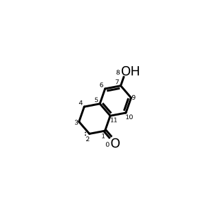 O=C1[C]CCc2cc(O)ccc21